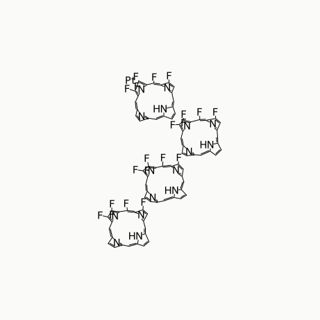 FC1=Cc2cc3ccc(cc4nc(cc5c(F)c(F)c(c(F)c1n2)n5F)C=C4)[nH]3.FC1=Cc2cc3ccc(cc4nc(cc5c(F)c(F)c(c(F)c1n2)n5F)C=C4)[nH]3.FC1=Cc2cc3ccc(cc4nc(cc5c(F)c(F)c(c(F)c1n2)n5F)C=C4)[nH]3.FC1=Cc2cc3ccc(cc4nc(cc5c(F)c(F)c(c(F)c1n2)n5F)C=C4)[nH]3.[Pt]